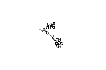 CN(CCOCCCCCCNC[C@H](O)c1ccc(O)c2[nH]c(=O)ccc12)C1CCC(OC(=O)C(O)(c2cccs2)c2cccs2)CC1